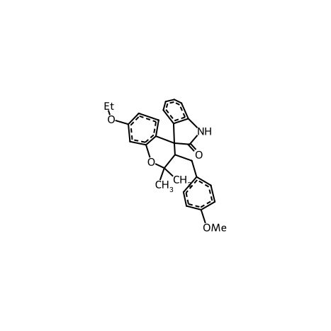 CCOc1ccc2c(c1)OC(C)(C)C(Cc1ccc(OC)cc1)C21C(=O)Nc2ccccc21